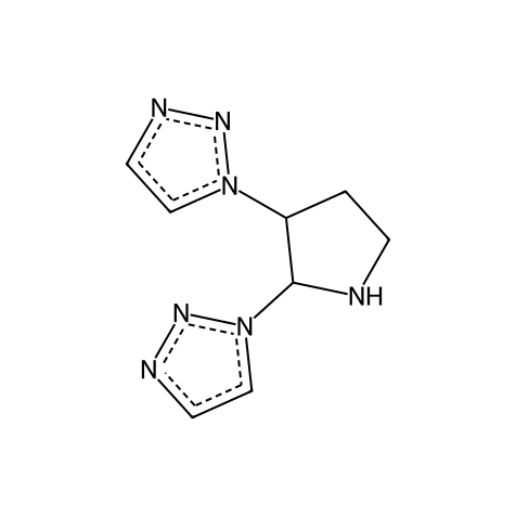 c1cn(C2CCNC2n2ccnn2)nn1